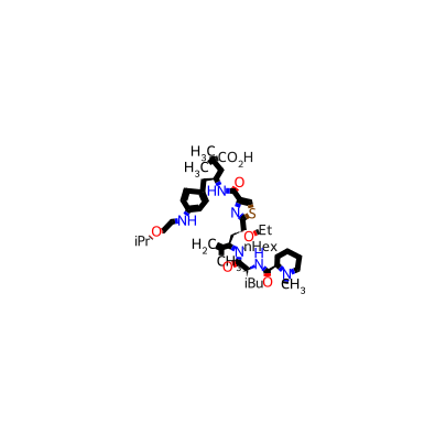 C=C(C)[C@@H](C[C@@H](OCC)c1nc(C(=O)N[C@@H](Cc2ccc(NCCOC(C)C)cc2)CC(C)(C)C(=O)O)cs1)N(CCCCCC)C(=O)[C@@H](NC(=O)[C@H]1CCCCN1C)[C@@H](C)CC